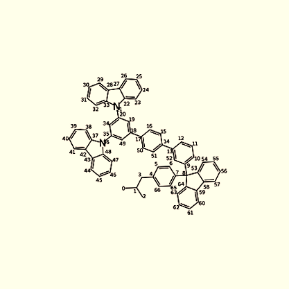 CC(C)Cc1ccc(C2(c3cccc(-c4ccc(-c5cc(-n6c7ccccc7c7ccccc76)cc(-n6c7ccccc7c7ccccc76)c5)cc4)c3)c3ccccc3-c3ccccc32)cc1